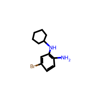 Nc1ccc(Br)cc1NC1CCCCC1